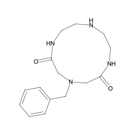 O=C1CN(Cc2ccccc2)CC(=O)NCCNCCN1